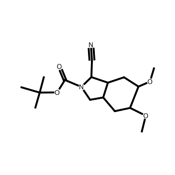 COC1CC2CN(C(=O)OC(C)(C)C)C(C#N)C2CC1OC